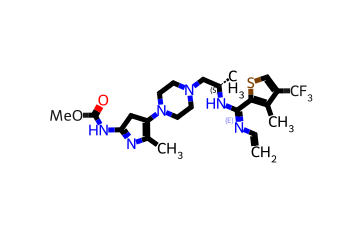 C=C/N=C(/N[C@@H](C)CN1CCN(C2=C(C)N=C(NC(=O)OC)C2)CC1)c1scc(C(F)(F)F)c1C